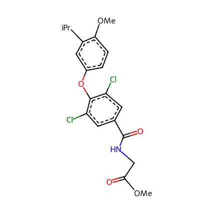 COC(=O)CNC(=O)c1cc(Cl)c(Oc2ccc(OC)c(C(C)C)c2)c(Cl)c1